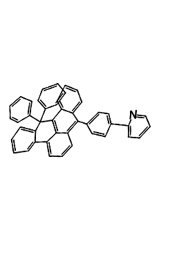 c1ccc(C2(c3ccccc3)c3ccccc3-c3cccc4c(-c5ccc(-c6ccccn6)cc5)c5ccccc5c2c34)cc1